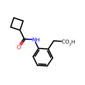 O=C(O)Cc1ccccc1NC(=O)C1CCC1